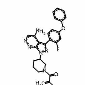 C=C(C#N)C(=O)N1CCCC(n2nc(-c3ccc(Oc4ccccc4)cc3F)c3c(N)cnnc32)C1